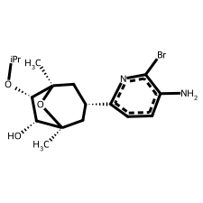 CC(C)O[C@H]1[C@@H](O)[C@]2(C)C[C@@H](c3ccc(N)c(Br)n3)C[C@@]1(C)O2